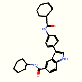 O=C(NC1CCCCC1)c1ccc2[nH]cc(-c3ccc(NC(=O)C4CCCCC4)cc3)c2c1